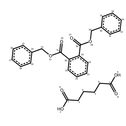 O=C(O)CCCCC(=O)O.O=C(OCc1ccccc1)c1ccccc1C(=O)OCc1ccccc1